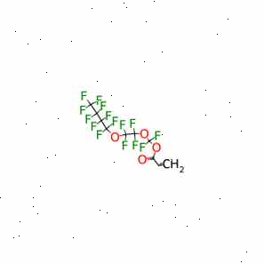 C=CC(=O)OC(F)(F)OC(F)(F)C(F)(F)OC(F)(F)C(F)(F)C(F)(F)C(F)(F)F